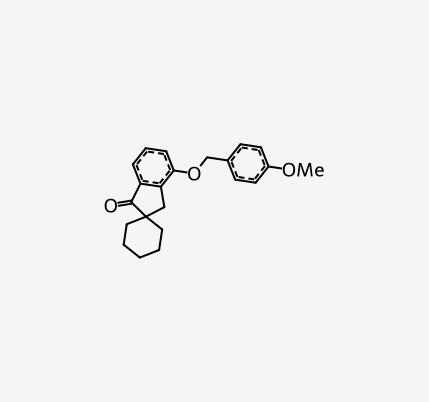 COc1ccc(COc2cccc3c2CC2(CCCCC2)C3=O)cc1